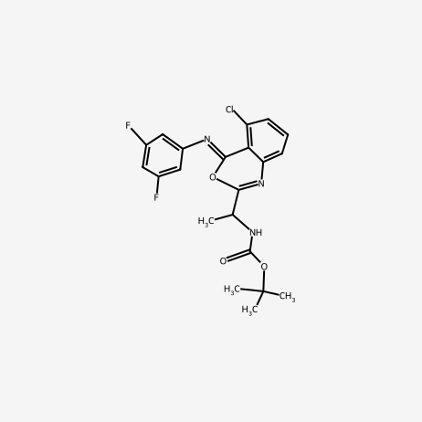 CC(NC(=O)OC(C)(C)C)c1nc2cccc(Cl)c2c(=Nc2cc(F)cc(F)c2)o1